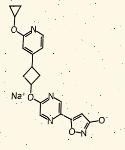 [Na+].[O-]c1cc(-c2cnc(OC3CC(c4ccnc(OC5CC5)c4)C3)cn2)on1